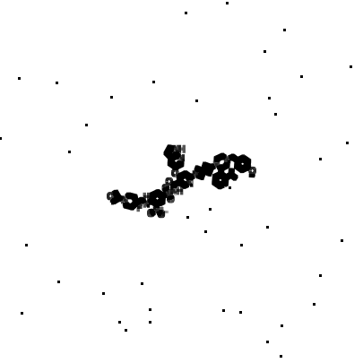 COc1ccc(CN2CCN(C3CC4(C3)CN(c3cc(Oc5cnc6[nH]ccc6c5)c(C(=O)NS(=O)(=O)c5ccc(NCC6(F)CCN(C7COC7)CC6)c([N+](=O)[O-])c5)cn3)C4)C(c3ccccc3C(C)C)C2)cc1